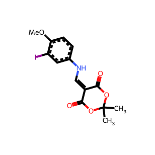 COc1ccc(NC=C2C(=O)OC(C)(C)OC2=O)cc1I